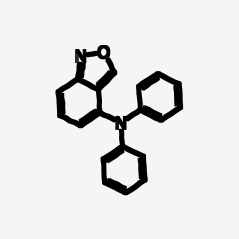 c1ccc(N(c2ccccc2)c2cccc3nocc23)cc1